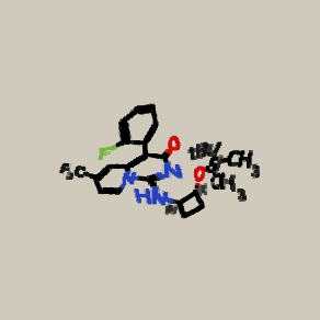 CC(C)(C)[Si](C)(C)O[C@@H]1CC[C@H]1Nc1nc(=O)c(-c2ccccc2F)c2cc(C(F)(F)F)ccn12